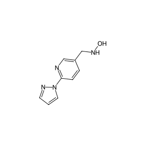 ONCc1ccc(-n2cccn2)nc1